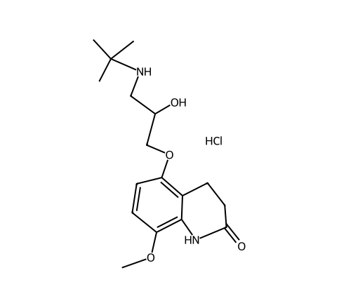 COc1ccc(OCC(O)CNC(C)(C)C)c2c1NC(=O)CC2.Cl